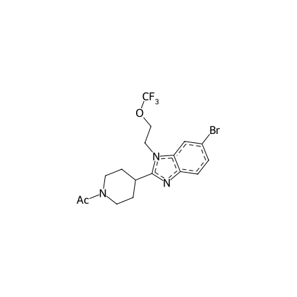 CC(=O)N1CCC(c2nc3ccc(Br)cc3n2CCOC(F)(F)F)CC1